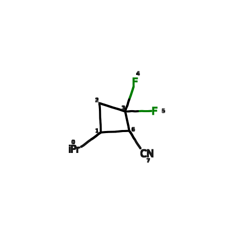 CC(C)C1CC(F)(F)C1C#N